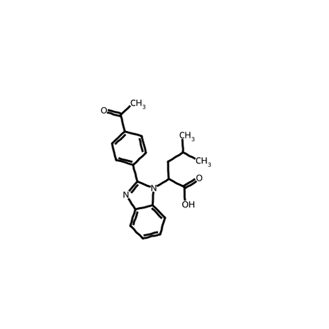 CC(=O)c1ccc(-c2nc3ccccc3n2C(CC(C)C)C(=O)O)cc1